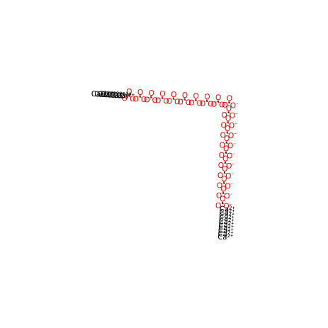 O=C([O-])[O-].O=C([O-])[O-].O=C([O-])[O-].O=C([O-])[O-].O=C([O-])[O-].O=C([O-])[O-].O=C([O-])[O-].O=C([O-])[O-].O=C([O-])[O-].O=C([O-])[O-].O=C([O-])[O-].O=C([O-])[O-].O=C([O-])[O-].O=C([O-])[O-].O=C([O-])[O-].O=C([O-])[O-].O=C([O-])[O-].O=C([O-])[O-].O=C([O-])[O-].O=C([O-])[O-].[Ca+2].[Ca+2].[Ca+2].[Ca+2].[Ca+2].[Ca+2].[Ca+2].[Ca+2].[Ca+2].[Ca+2].[Ca+2].[Ca+2].[Ca+2].[Ca+2].[Ca+2].[Ca+2].[Ca+2].[Ca+2].[Ca+2].[Ca+2]